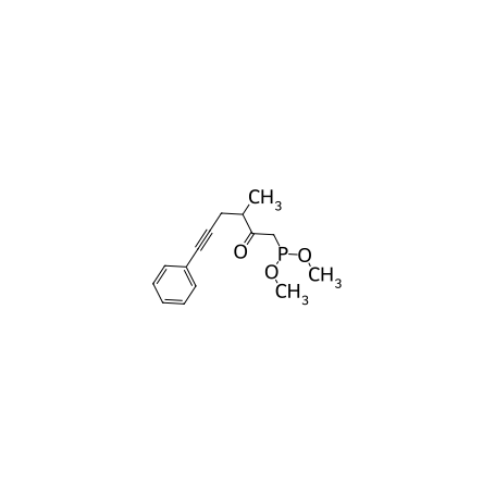 COP(CC(=O)C(C)CC#Cc1ccccc1)OC